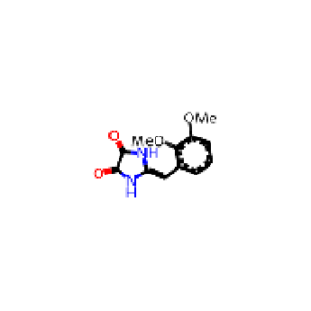 COc1cccc(C=C2NC(=O)C(=O)N2)c1OC